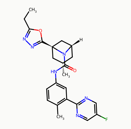 CCc1nnc([C@@]23C[C@@H](C)C[C@@H](C2)N3C(=O)Nc2ccc(C)c(-c3ncc(F)cn3)c2)o1